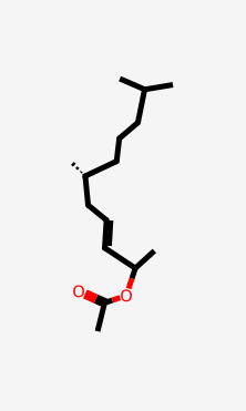 CC(=O)OC(C)C=CC[C@H](C)CCCC(C)C